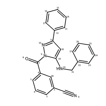 N#Cc1cccc(C(=O)n2nc(-c3ccccc3)cc2NCc2ccccc2)c1